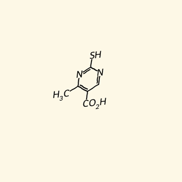 Cc1nc(S)ncc1C(=O)O